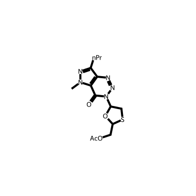 CCCc1nn(C)c2c(=O)n(C3CSC(COC(C)=O)O3)nnc12